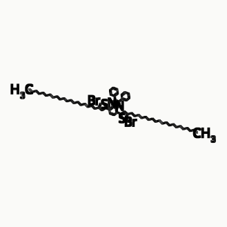 CCCCCCCCCCCCCCCCCCCCc1cc(-c2ccc(-c3cc(CCCCCCCCCCCCCCCCCCCC)c(Br)s3)c3nc(-c4ccccc4)c(-c4ccccc4)nc23)sc1Br